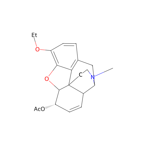 CCOc1ccc2c3c1OC1[C@@H](OC(C)=O)C=CC4C(C2)N(C)CCC341